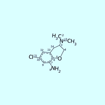 CN(C)C1COc2c(N)cc(Cl)cc2C1